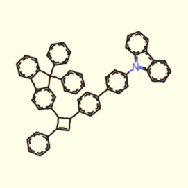 C1=C(c2ccccc2)C(c2ccc3c(c2)C(c2ccccc2)(c2ccccc2)c2ccccc2-3)C1c1ccc(-c2ccc(-n3c4ccccc4c4ccccc43)cc2)cc1